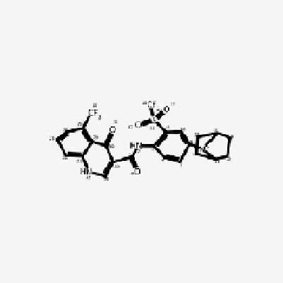 O=C(Nc1ccc(N2C3CCC2CC3)cc1S(=O)(=O)C(F)(F)F)c1c[nH]c2cccc(C(F)(F)F)c2c1=O